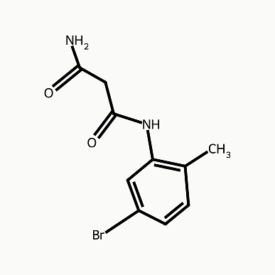 Cc1ccc(Br)cc1NC(=O)CC(N)=O